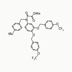 COC(=O)C(=O)N(Cc1ccc(C(C)(C)C)cc1)c1ccc(OCc2ccc(OC(F)(F)F)cc2)c(OCc2ccc(OC(F)(F)F)cc2)c1